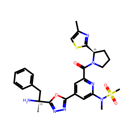 Cc1csc([C@H]2CCCN2C(=O)c2cc(-c3nnc([C@@](C)(N)Cc4ccccc4)o3)cc(N(C)S(C)(=O)=O)n2)n1